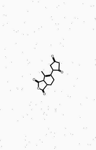 CC1=C(C2CC(=O)CC2=O)CCC2C(=O)OC(=O)C12